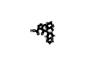 Cn1ncc(C(=O)O)c1C(=O)N(c1ccn2ncnc2c1)c1cccnc1F